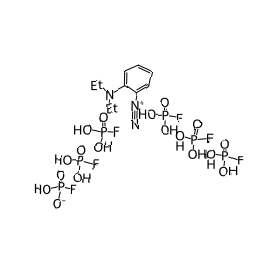 CCN(CC)c1ccccc1[N+]#N.O=P(O)(O)F.O=P(O)(O)F.O=P(O)(O)F.O=P(O)(O)F.O=P(O)(O)F.O=P([O-])(O)F